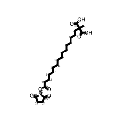 CC(CCCCCCCCCCCCCCCC(=O)ON1C(=O)CCC1=O)(C(=O)O)C(=O)O